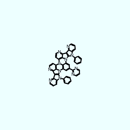 c1ccc(-n2c3cccnc3c3c4nccc5c4n(c32)-c2cc(-c3ncccn3)cc3c2B5c2ccnc4c5c6ncccc6n(-c6ccccc6)c5n-3c24)cc1